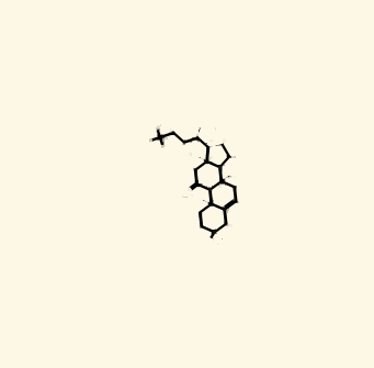 CC[C@]1(O)CC[C@@]2(C)C(=CC[C@@H]3C2C(=O)C[C@@]2(C)C3CC[C@@H]2[C@H](C)CCC(C)(C)O)C1